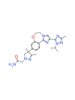 CC1=NN(CC(N)=O)CC1(C)c1ccc2c(c1)OCCn1cc(-c3nc(C)nn3C(C)C)nc1-2